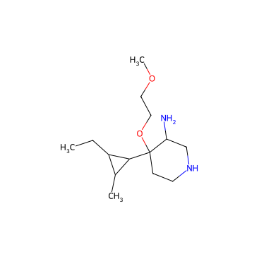 CCC1C(C)C1C1(OCCOC)CCNCC1N